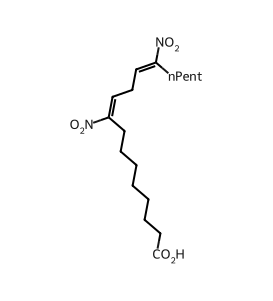 CCCCC/C(=C\C/C=C(\CCCCCCCC(=O)O)[N+](=O)[O-])[N+](=O)[O-]